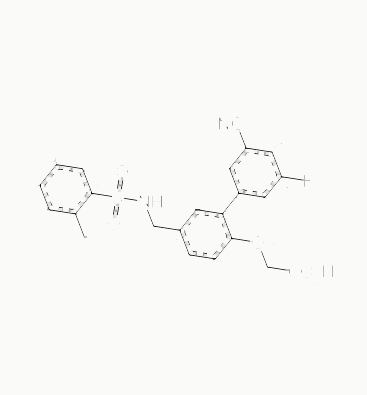 Cc1ccccc1S(=O)(=O)NCc1ccc(OCC(=O)O)c(-c2cc(F)cc(C#N)c2)c1